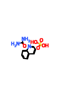 NC(N)=O.O=S(=O)(O)O.c1ccc2ncccc2c1